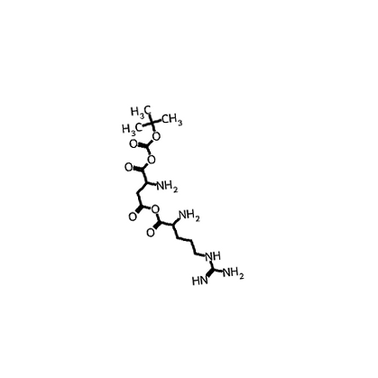 CC(C)(C)OC(=O)OC(=O)C(N)CC(=O)OC(=O)C(N)CCCNC(=N)N